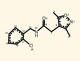 Cc1noc(C)c1CC(=O)NCc1ccccc1Cl